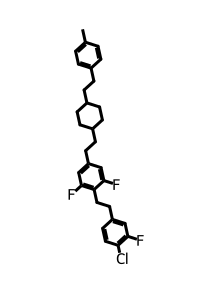 Cc1ccc(CCC2CCC(CCc3cc(F)c(CCc4ccc(Cl)c(F)c4)c(F)c3)CC2)cc1